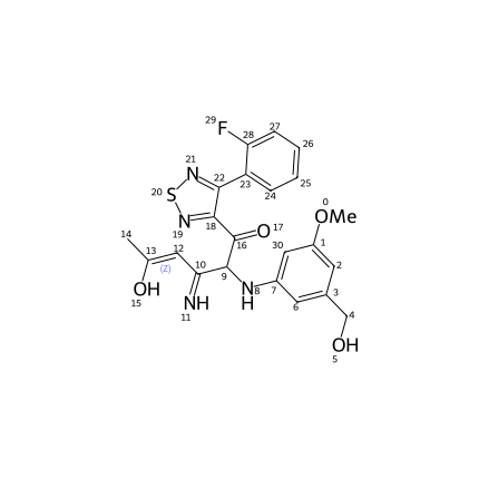 COc1cc(CO)cc(NC(C(=N)/C=C(/C)O)C(=O)c2nsnc2-c2ccccc2F)c1